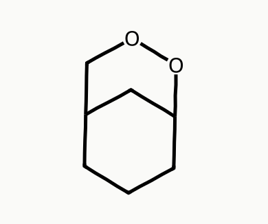 C1CC2COOC(C1)C2